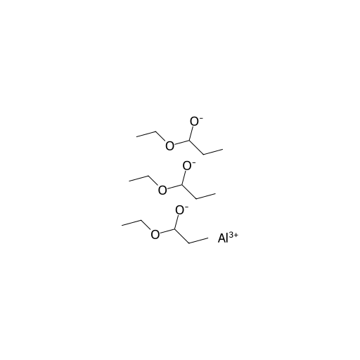 CCOC([O-])CC.CCOC([O-])CC.CCOC([O-])CC.[Al+3]